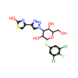 OCC1O[C@H](Sc2cc(Cl)c(F)c(Cl)c2)C(O)C(n2cc(-c3csc(O)n3)nn2)[C@H]1O